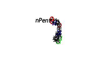 CCCCCC(=O)Oc1ccc2ccc(OCCCCN3CCN(c4cccc(Cl)c4Cl)CC3)cc2n1